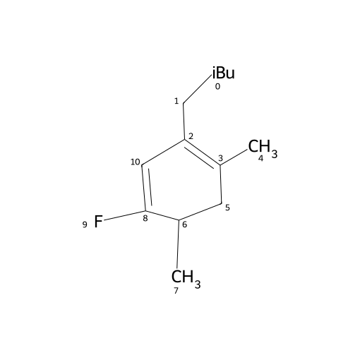 CCC(C)CC1=C(C)CC(C)C(F)=C1